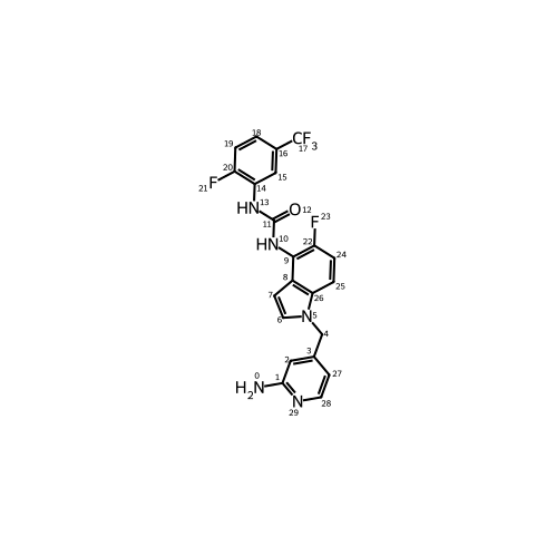 Nc1cc(Cn2ccc3c(NC(=O)Nc4cc(C(F)(F)F)ccc4F)c(F)ccc32)ccn1